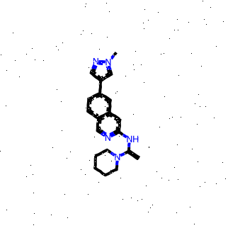 C=C(Nc1cc2cc(-c3cnn(C)c3)ccc2cn1)N1CCCCC1